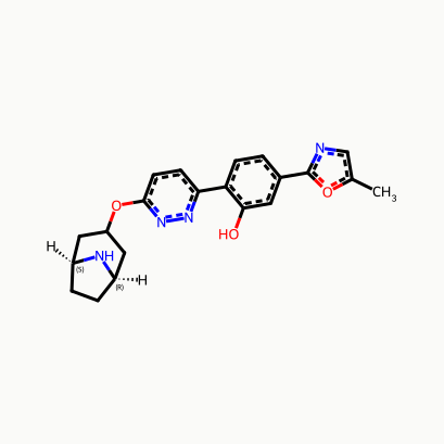 Cc1cnc(-c2ccc(-c3ccc(OC4C[C@H]5CC[C@@H](C4)N5)nn3)c(O)c2)o1